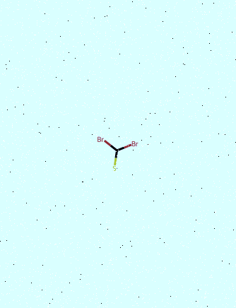 [S]C(Br)Br